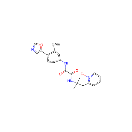 COc1cc(NC(=O)C(=O)NC(C)(C)Cc2cccc[n+]2[O-])ccc1-c1cnco1